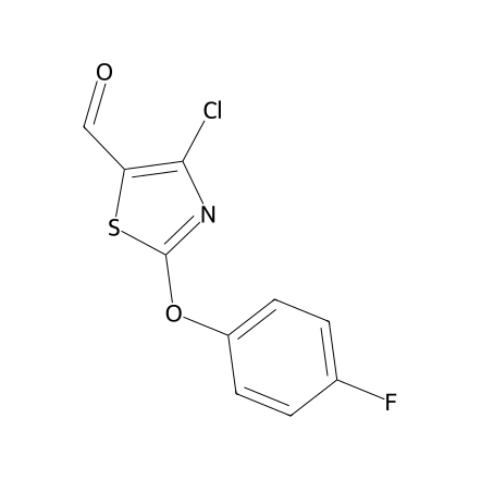 O=Cc1sc(Oc2ccc(F)cc2)nc1Cl